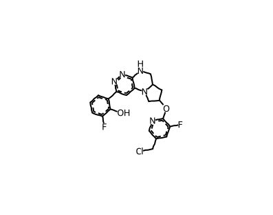 Oc1c(F)cccc1-c1cc2c(nn1)NCC1CC(Oc3ncc(CCl)cc3F)CN21